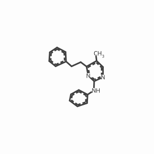 Cc1cnc(Nc2ccccc2)nc1CCc1ccccc1